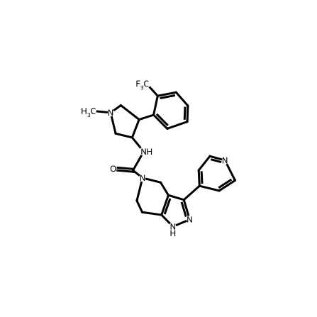 CN1CC(NC(=O)N2CCc3[nH]nc(-c4ccncc4)c3C2)C(c2ccccc2C(F)(F)F)C1